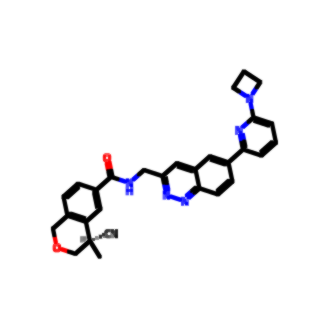 C[C@@]1(C#N)COCc2ccc(C(=O)NCc3cc4cc(-c5cccc(N6CCC6)n5)ccc4nn3)cc21